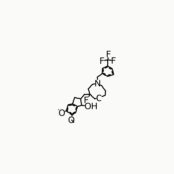 COc1cc2c(cc1OC)C(O)C(CC1(F)CCCCCN(Cc3cccc(C(F)(F)F)c3)CC1)C2